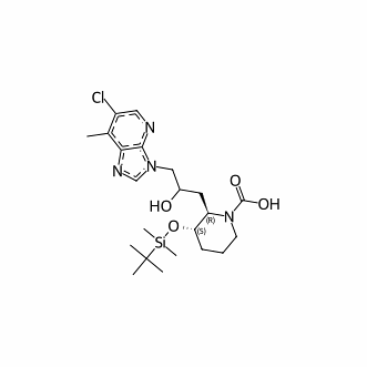 Cc1c(Cl)cnc2c1ncn2CC(O)C[C@@H]1[C@@H](O[Si](C)(C)C(C)(C)C)CCCN1C(=O)O